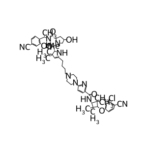 COc1cc(C#N)ccc1[C@H](C)NC(=O)[C@@H]1C[C@@H](O)CN1C(=O)[C@H]1NC(CCCCN2CCN(c3ccc(C(=O)N[C@H]4C(C)(C)[C@H](Oc5ccc(C#N)c(Cl)c5)C4(C)C)cn3)CC2)=CC1(C)C